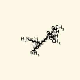 CCC(=O)NCC(NC(=O)CC)C(=O)NCCCCCCC(CNCCCCN)CNCCCCN